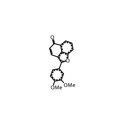 COc1ccc(-c2oc3cccc4c3c2C=CC4=O)cc1OC